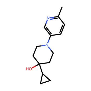 Cc1ccc(N2CCC(O)(C3CC3)CC2)cn1